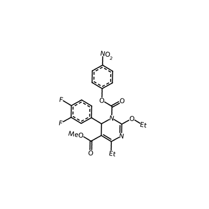 CCOC1=NC(CC)=C(C(=O)OC)C(c2ccc(F)c(F)c2)N1C(=O)Oc1ccc([N+](=O)[O-])cc1